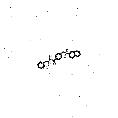 O=C(N[C@H](CO)Cc1ccccc1)c1ccc(CS(=O)(=O)c2ccc3ccccc3c2)cc1